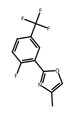 Cc1coc(-c2cc(C(F)(F)F)ccc2F)n1